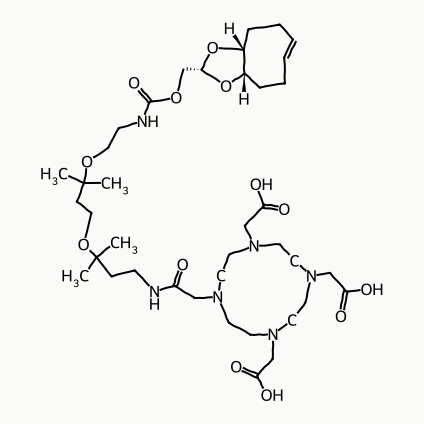 CC(C)(CCNC(=O)CN1CCN(CC(=O)O)CCN(CC(=O)O)CCN(CC(=O)O)CC1)OCCC(C)(C)OCCNC(=O)OC[C@H]1O[C@H]2CC/C=C/CC[C@H]2O1